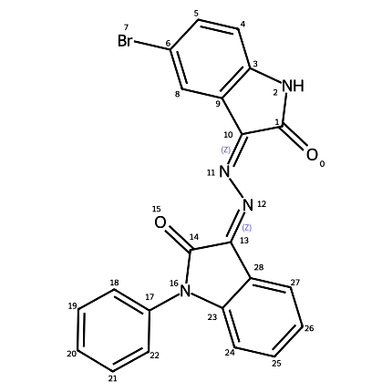 O=C1Nc2ccc(Br)cc2/C1=N/N=C1\C(=O)N(c2ccccc2)c2ccccc21